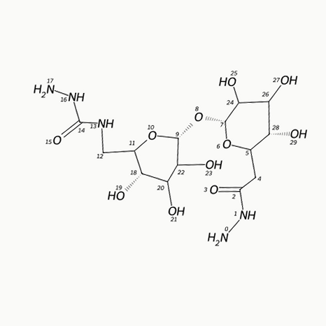 NNC(=O)CC1O[C@H](O[C@H]2OC(CNC(=O)NN)[C@@H](O)C(O)C2O)C(O)C(O)[C@@H]1O